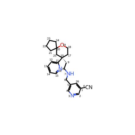 N#Cc1cncc(CNCC[C@@]2(c3ccccn3)CCOC3(CCCC3)C2)c1